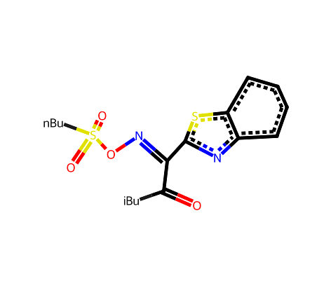 CCCCS(=O)(=O)O/N=C(\C(=O)C(C)CC)c1nc2ccccc2s1